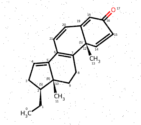 CC[C@H]1CC=C2C3=C(CC[C@@]21C)[C@@]1(C)C=CC(=O)C=C1C=C3